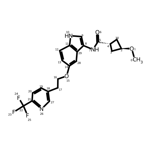 CO[C@H]1C[C@H](C(=O)Nc2c[nH]c3ccc(OCCc4ccc(C(F)(F)F)nc4)cc23)C1